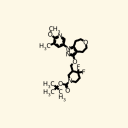 COc1ncc(-n2nc(OCC3CN(C(=O)OC(C)(C)C)CCC3(F)F)c3c2CCOCC3)cc1C